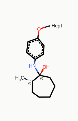 CCCCCCCOc1ccc(N[C@]2(O)CCCCC[C@@H]2C)cc1